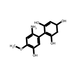 COc1cc(N)c(C2=C(O)[CH]C(O)C=C2O)cc1O